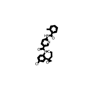 Cc1ccccc1C(=O)Nc1ccc(C(=O)N2CCCC3(CO3)c3cc(Cl)ccc32)cn1